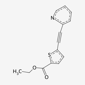 CCOC(=O)c1ccc(C#Cc2ccccn2)s1